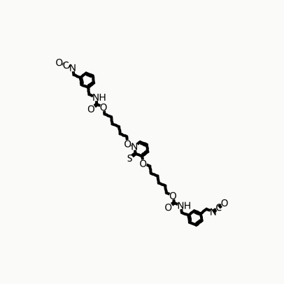 O=C=NCc1cccc(CNC(=O)OCCCCCCOc2cccn(OCCCCCCOC(=O)NCc3cccc(CN=C=O)c3)c2=S)c1